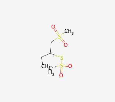 CCC(CS(C)(=O)=O)SS(C)(=O)=O